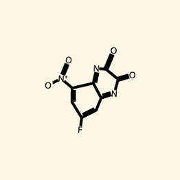 O=C1N=c2cc(F)cc([N+](=O)[O-])c2=NC1=O